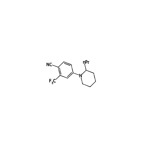 CCCC1CCCCN1c1ccc(C#N)c(C(F)(F)F)c1